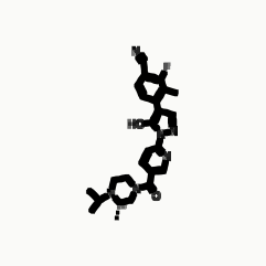 Cc1c(-c2cnn(-c3ccc(C(=O)N4CCN(C(C)C)[C@@H](C)C4)cn3)c2O)ccc(C#N)c1F